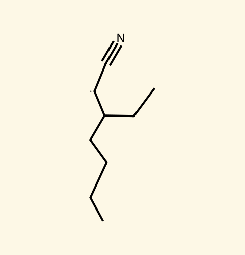 CCCCC([CH]C#N)CC